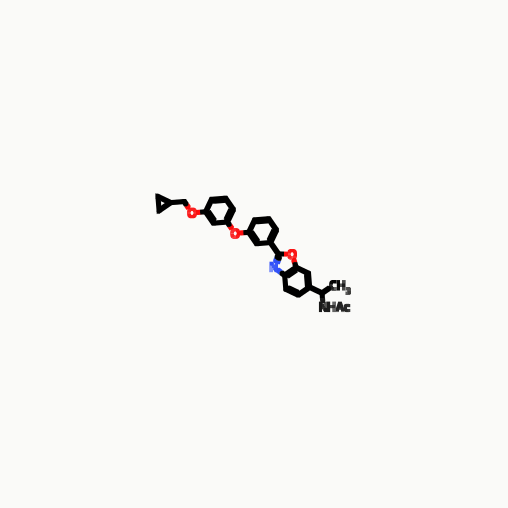 CC(=O)NC(C)c1ccc2nc(-c3cccc(Oc4cccc(OCC5CC5)c4)c3)oc2c1